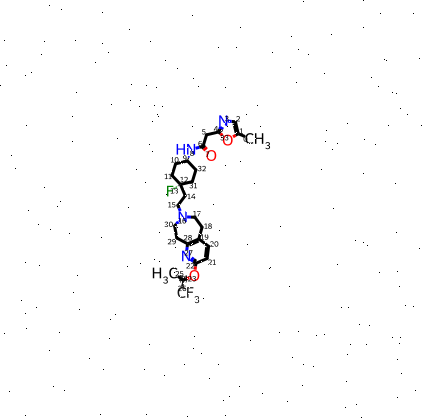 Cc1cnc(CC(=O)N[C@H]2CC[C@](F)(CCN3CCc4ccc(O[C@H](C)C(F)(F)F)nc4CC3)CC2)o1